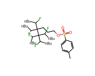 CCCCC(F)C(CCCOS(=O)(=O)c1ccc(C)cc1)(C(F)CCCC)C(C(F)CCCC)(C(F)CCCC)C(F)CCCC